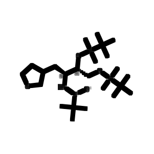 CC(C)(C)[S+]([O-])N[C@@H](CC1CCOC1)[C@@H](CO[Si](C)(C)C(C)(C)C)O[Si](C)(C)C(C)(C)C